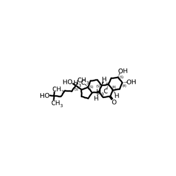 CC(C)(O)CCC[C@](C)(O)C1CCC2[C@@H]3CC(=O)[C@@H]4C[C@@H](O)[C@@H](O)C[C@]4(C)[C@H]3CC[C@@]21C